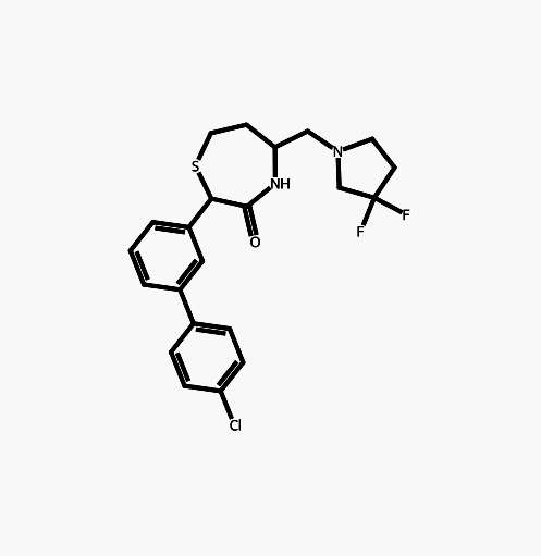 O=C1NC(CN2CCC(F)(F)C2)CCSC1c1cccc(-c2ccc(Cl)cc2)c1